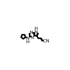 N#C/C=C/Cc1c[nH]c2ncc(NC3CCCC3)nc12